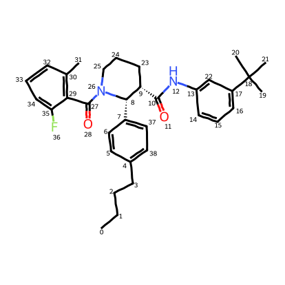 CCCCc1ccc([C@H]2[C@@H](C(=O)Nc3cccc(C(C)(C)C)c3)CCCN2C(=O)c2c(C)cccc2F)cc1